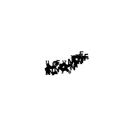 Cc1cc(N2CCn3ncc(C)c3C2=O)c(F)cc1-c1ncc2nc(C(F)(F)F)ccc2n1